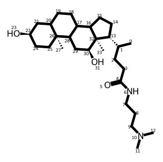 CC(CCC(=O)NCCCN(C)C)[C@H]1CCC2C3CCC4C[C@H](O)CC[C@]4(C)C3C[C@H](O)[C@@]21C